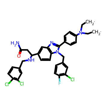 [CH2]CN(C[CH2])c1ccc(-c2nc3cc(C(CC(N)=O)NCc4ccc(Cl)c(Cl)c4)ccc3n2Cc2ccc(F)c(Cl)c2)cc1